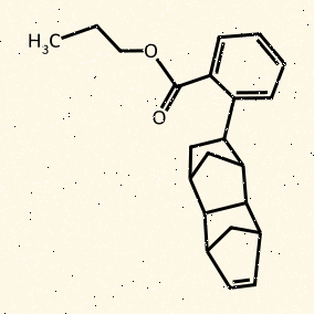 CCCOC(=O)c1ccccc1C1CC2CC1C1C3C=CC(C3)C21